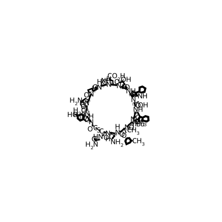 CCCC[C@H]1C(=O)N(C)[C@@H](COc2cccc(C)c2)C(=O)N[C@@H](CCN)C(=O)N[C@H](C(=O)NCC(N)=O)CSCC(=O)N[C@@H](Cc2ccc(O)cc2)C(=O)N(C)[C@@H](C)C(=O)N[C@@H](CC(N)=O)C(=O)N2CCC[C@H]2C(=O)N[C@@H](CN)C(=O)N[C@@H](CCC(=O)O)C(=O)N2C[C@H](O)C[C@H]2C(=O)N[C@@H](Cc2c[nH]c3ccccc23)C(=O)N[C@@H](CO)C(=O)N[C@@H](Cc2c[nH]c3ccccc23)C(=O)N1C